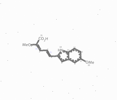 CO/C(=C/C=C/c1cc2cc(OC)ccc2[nH]1)C(=O)O